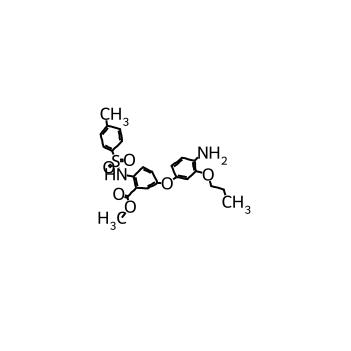 CCCOc1cc(Oc2ccc(NS(=O)(=O)c3ccc(C)cc3)c(C(=O)OC)c2)ccc1N